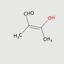 C/C(O)=C(\C)C=O